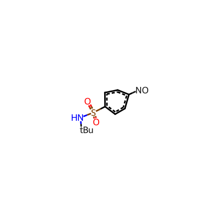 CC(C)(C)NS(=O)(=O)c1ccc(N=O)cc1